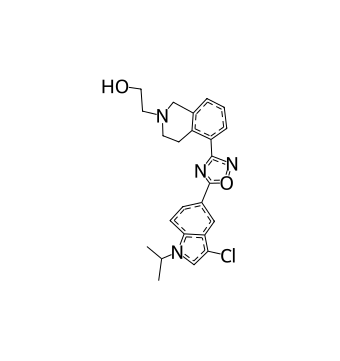 CC(C)n1cc(Cl)c2cc(-c3nc(-c4cccc5c4CCN(CCO)C5)no3)ccc21